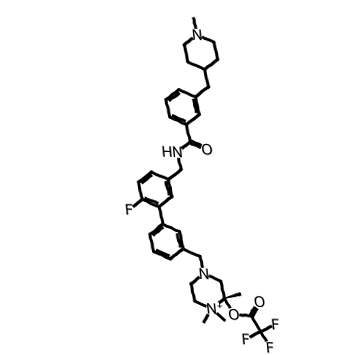 CN1CCC(Cc2cccc(C(=O)NCc3ccc(F)c(-c4cccc(CN5CC[N+](C)(C)[C@@](C)(OC(=O)C(F)(F)F)C5)c4)c3)c2)CC1